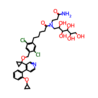 NC(=O)CCN(CC(O)C(O)C(O)C(O)CO)C(=O)CCCCc1cc(Cl)c(COC2(c3cnccc3-c3ccccc3OC3CC3)CC2)cc1Cl